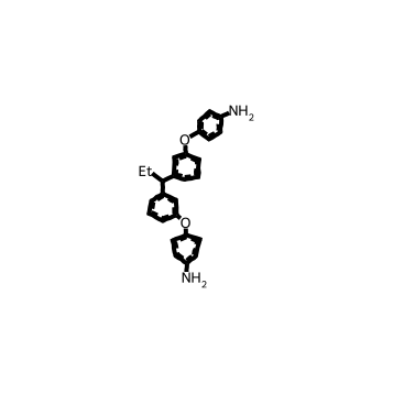 CCC(c1cccc(Oc2ccc(N)cc2)c1)c1cccc(Oc2ccc(N)cc2)c1